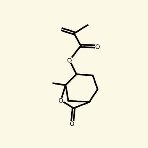 C=C(C)C(=O)OC1CCC2CC1(C)OC2=O